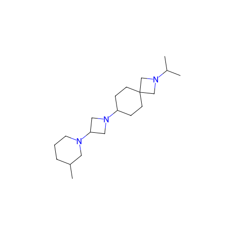 CC1CCCN(C2CN(C3CCC4(CC3)CN(C(C)C)C4)C2)C1